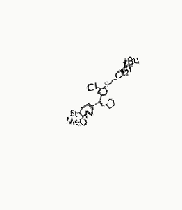 CCc1ccc(C(=CC2CCCC2)c2ccc(SCCCO[Si](C)(C)C(C)(C)C)c(Cl)c2)nc1OC